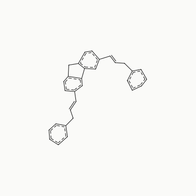 C(=Cc1ccc2c(c1)-c1cc(C=CCc3ccccc3)ccc1C2)Cc1ccccc1